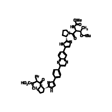 COC(=O)N[C@H](C(=O)N1CCC[C@H]1c1ncc(-c2ccc3nc(-c4ccc(-c5c[nH]c([C@@H]6CCCN6C(=O)[C@H](C(C)C)N(C)C(=O)O)n5)cc4)cnc3c2)[nH]1)[C@@H](C)OC(C)(C)C